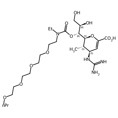 CCCOCCOCCOCCOCCN(CC)C(=O)O[C@@H]([C@H]1OC(C(=O)O)=C[C@@H](NC(=N)N)[C@@H]1C)[C@H](O)CO